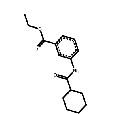 CCOC(=O)c1cccc(NC(=O)C2CCCCC2)c1